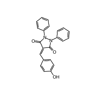 O=C1C(=Cc2ccc(O)cc2)C(=O)N(c2ccccc2)N1c1ccccc1